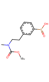 CN(CCc1cccc(S(=O)O)c1)C(=O)OC(C)(C)C